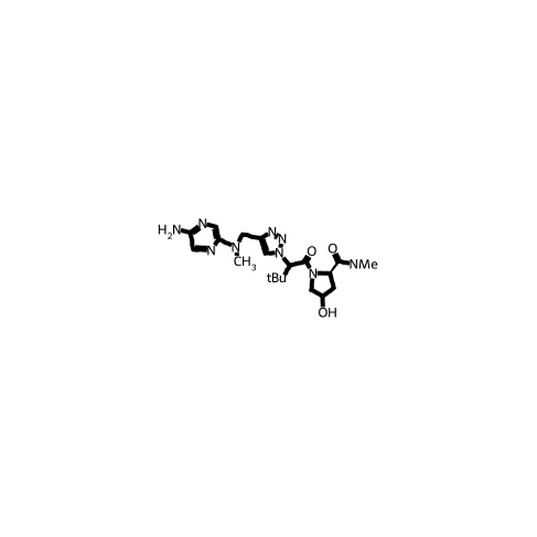 CNC(=O)[C@H]1CC(O)CN1C(=O)C(n1cc(CN(C)c2cnc(N)cn2)nn1)C(C)(C)C